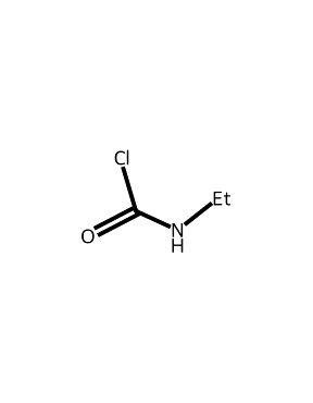 [CH2]CNC(=O)Cl